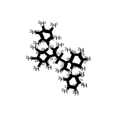 [2H]c1c([2H])c([2H])c(-n2c([2H])c(C(C)(C)c3c([2H])n(-c4c([2H])c([2H])c([2H])c([2H])c4[2H])c4c([2H])c([2H])c([2H])c([2H])c34)c3c([2H])c([2H])c([2H])c([2H])c32)c([2H])c1[2H]